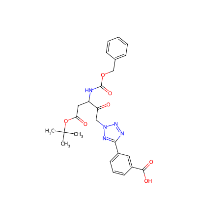 CC(C)(C)OC(=O)CC(NC(=O)OCc1ccccc1)C(=O)Cn1nnc(-c2cccc(C(=O)O)c2)n1